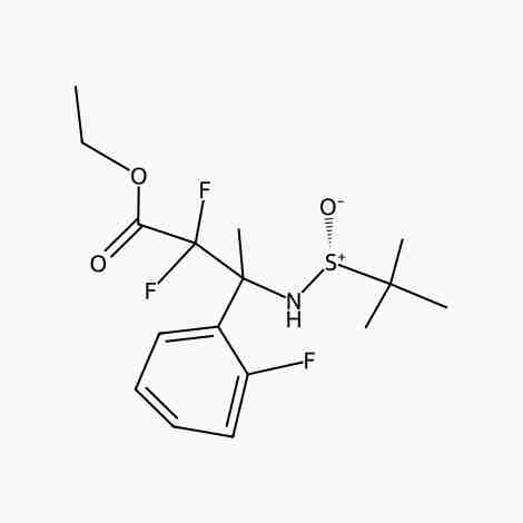 CCOC(=O)C(F)(F)C(C)(N[S@+]([O-])C(C)(C)C)c1ccccc1F